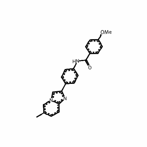 COc1ccc(C(=O)Nc2ccc(-c3cn4cc(C)ccc4n3)cc2)cc1